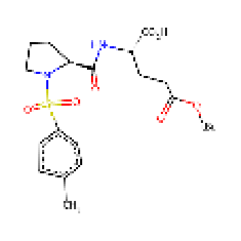 Cc1ccc(S(=O)(=O)N2CCC[C@H]2C(=O)N[C@@H](CCC(=O)OC(C)(C)C)C(=O)O)cc1